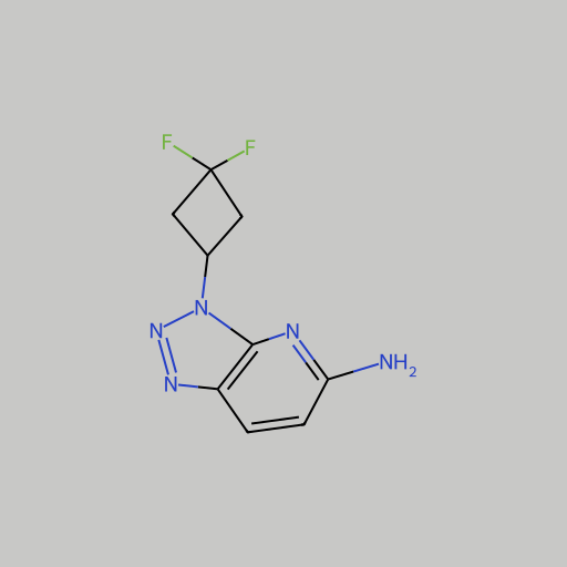 Nc1ccc2nnn(C3CC(F)(F)C3)c2n1